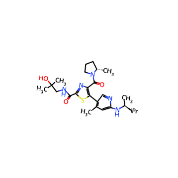 Cc1cc(N[C@@H](C)C(C)C)ncc1-c1sc(C(=O)NCC(C)(C)O)nc1C(=O)N1CCC[C@@H]1C